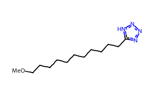 COCCCCCCCCCCCc1nnn[nH]1